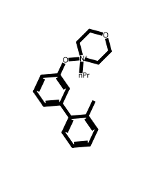 CCC[N+]1(Oc2cccc(-c3ccccc3C)c2)CCOCC1